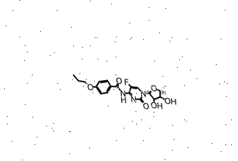 CCCOc1ccc(C(=O)Nc2nc(=O)n([C@@H]3O[C@H](C)C(O)C3O)cc2F)cc1